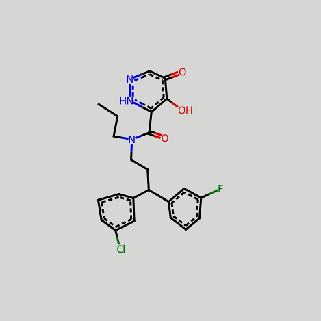 CCCN(CCC(c1cccc(F)c1)c1cccc(Cl)c1)C(=O)c1[nH]ncc(=O)c1O